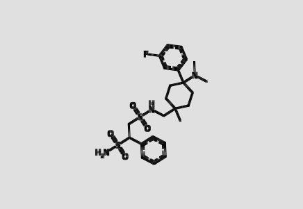 CN(C)C1(c2cccc(F)c2)CCC(C)(CNS(=O)(=O)CC(c2ccccc2)S(N)(=O)=O)CC1